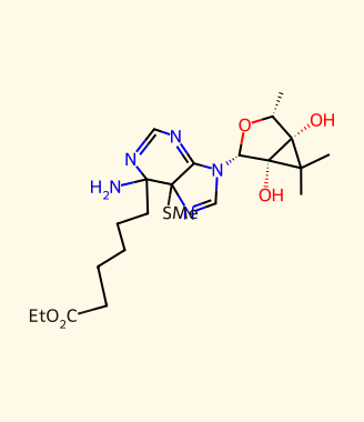 CCOC(=O)CCCCCC1(N)N=CN=C2N([C@@H]3O[C@H](C)[C@@]4(O)C(C)(C)[C@@]34O)C=NC21SC